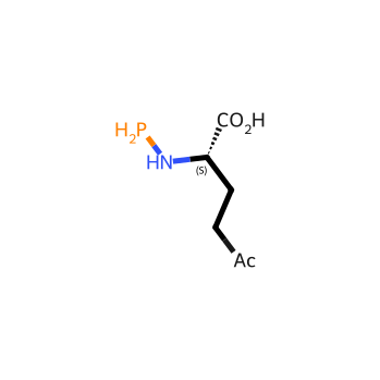 CC(=O)CC[C@H](NP)C(=O)O